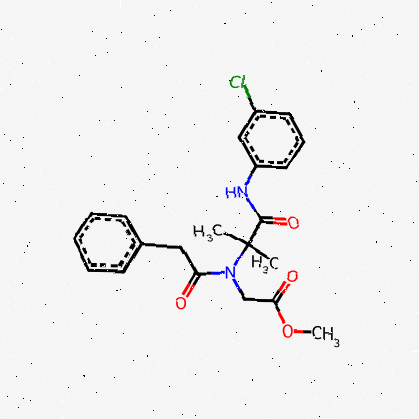 COC(=O)CN(C(=O)Cc1ccccc1)C(C)(C)C(=O)Nc1cccc(Cl)c1